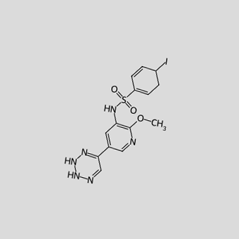 COc1ncc(C2=NNNN=C2)cc1NS(=O)(=O)C1=CCC(I)C=C1